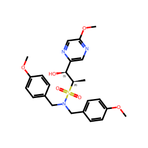 COc1ccc(CN(Cc2ccc(OC)cc2)S(=O)(=O)[C@H](C)[C@@H](O)c2cnc(OC)cn2)cc1